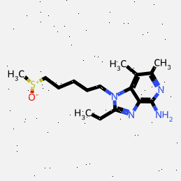 CCc1nc2c(N)nc(C)c(C)c2n1CCCCC[S+](C)[O-]